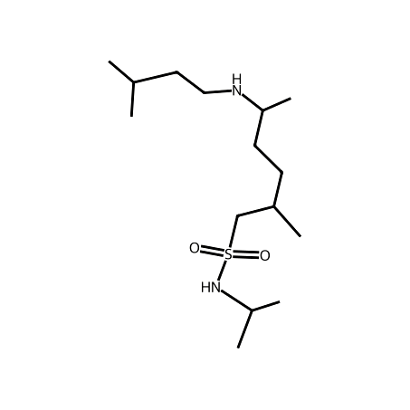 CC(C)CCNC(C)CCC(C)CS(=O)(=O)NC(C)C